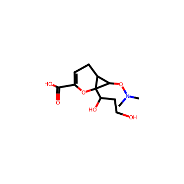 CN(C)OC1C2CC=C(C(=O)O)OC21C(O)CCO